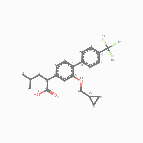 CC(C)CC(C(=O)O)c1ccc(-c2ccc(C(F)(F)F)cc2)c(OCC2CC2)c1